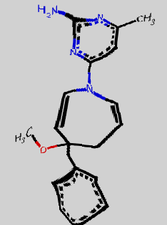 COC1(c2ccccc2)C=CN(c2cc(C)nc(N)n2)C=CC1